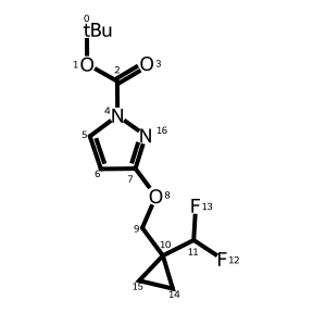 CC(C)(C)OC(=O)n1ccc(OCC2(C(F)F)CC2)n1